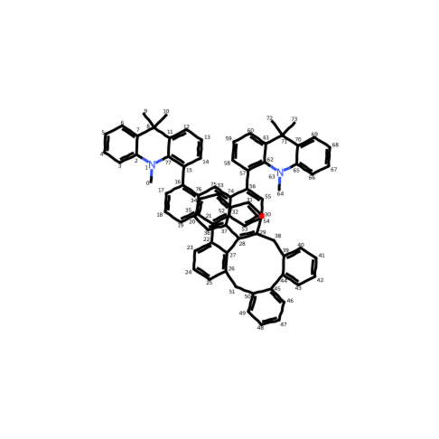 CN1c2ccccc2C(C)(C)c2cccc(-c3cccc4c(-c5cccc6c5-c5c(ccc7ccccc57)Cc5ccccc5-c5ccccc5C6)c5cccc(-c6cccc7c6N(C)c6ccccc6C7(C)C)c5cc34)c21